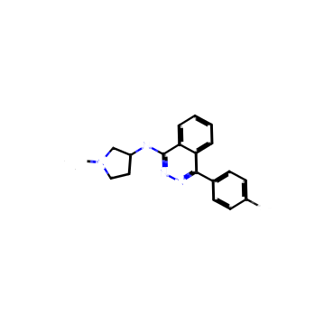 O=C(O)N1CCC(Nc2nnc(-c3ccc(C(F)(F)F)cc3)c3ccccc23)C1